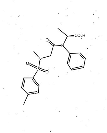 Cc1ccc(S(=O)(=O)N(C)CC(=O)N(c2ccccc2)[C@@H](C)C(=O)O)cc1